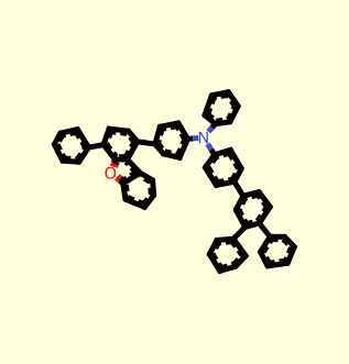 c1ccc(-c2ccc(-c3ccc(N(c4ccccc4)c4ccc(-c5ccc(-c6ccccc6)c6oc7ccccc7c56)cc4)cc3)cc2-c2ccccc2)cc1